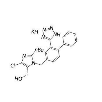 CCCCc1nc(Cl)c(CO)n1Cc1ccc(-c2ccccc2)c(-c2nnn[nH]2)c1.[KH]